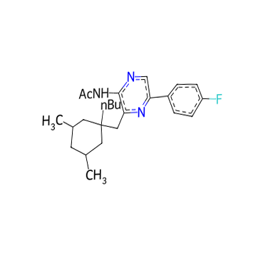 CCCCC1(Cc2nc(-c3ccc(F)cc3)cnc2NC(C)=O)CC(C)CC(C)C1